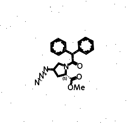 COC(=O)[C@@H]1CC(N=[N+]=[N-])CN1C(=O)C(c1ccccc1)c1ccccc1